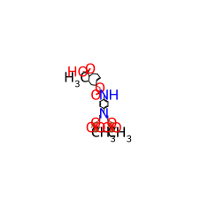 C[C@]1(C(=O)O)CC/C=C/[C@@H](OC(=O)Nc2ccc(N(CCOS(C)(=O)=O)CCOS(C)(=O)=O)cc2)CC1